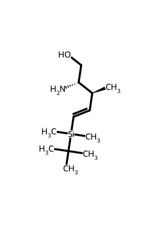 C[C@@H](/C=C/[Si](C)(C)C(C)(C)C)[C@H](N)CO